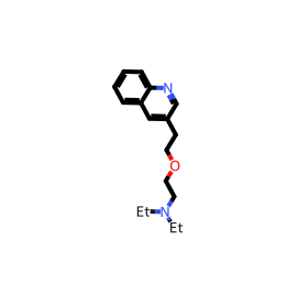 CCN(CC)CCOCCc1cnc2ccccc2c1